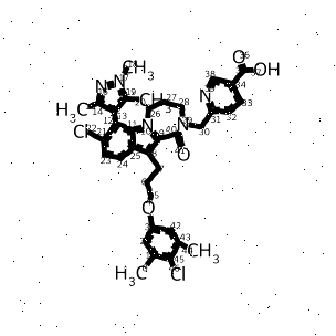 Cc1cc(OCCCc2c3n(c4c(-c5c(C)nn(C)c5C)c(Cl)ccc24)CCCN(Cc2ccc(C(=O)O)cn2)C3=O)cc(C)c1Cl